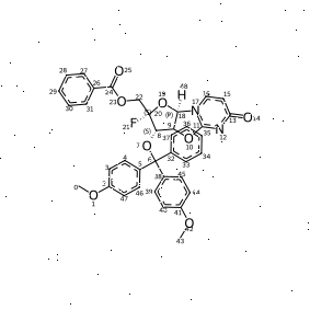 COc1ccc(C(O[C@H]2C3Oc4nc(=O)ccn4[C@@H]3O[C@]2(F)COC(=O)c2ccccc2)(c2ccccc2)c2ccc(OC)cc2)cc1